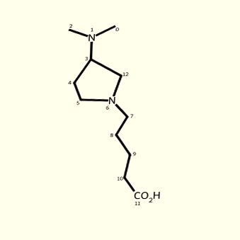 CN(C)C1CCN(CCCCC(=O)O)C1